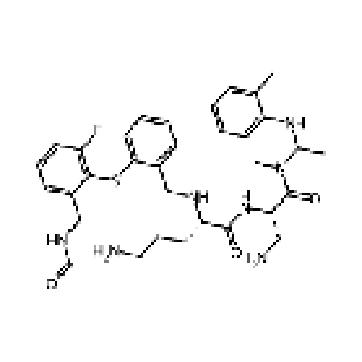 Cc1ccccc1NC(C)N(C)C(=O)[C@H](CN)NC(=O)[C@H](CCCN)NCc1ccccc1Sc1c(F)cccc1CNC=O